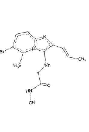 C/C=C/c1nc2ccc(Br)c(C)n2c1NCC(=O)NO